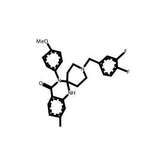 COc1ccc(N2C(=O)c3ccc(C)cc3NC23CCN(Cc2ccc(F)c(F)c2)CC3)cc1